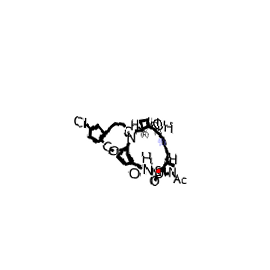 CC(=O)N1C[C@H]2C/C=C/[C@H](O)[C@@H]3CC[C@H]3CN3CCCCc4cc(Cl)ccc4COc4ccc(cc43)C(=O)NS(=O)(=O)[C@@H]2C1